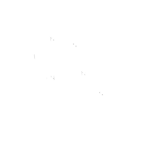 O=[N+]([O-])c1c(Cl)ncnc1N1CCN(C2CCCCC2)CC1